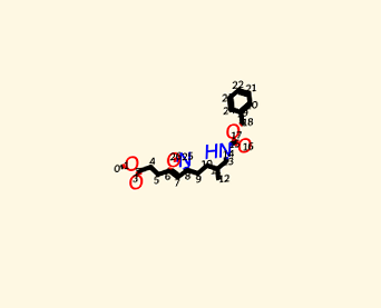 COC(=O)CCc1cc(CCC(C)CNC(=O)OCc2ccccc2)no1